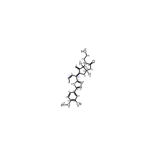 C=C1/C(=C(\C=C/C)c2nnc(-c3ccc(OC(C)C)c(C#N)c3)s2)C[C@H]2CC(=O)N(CCO)[C@@H]12